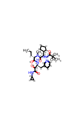 CCC[C@@H](C(=O)N[C@@H](Cc1cccnc1)C(=O)C(=O)NC1CC1)N(C)C(=O)[C@H](NC(=O)C(C)(C)C)C1CCCC1